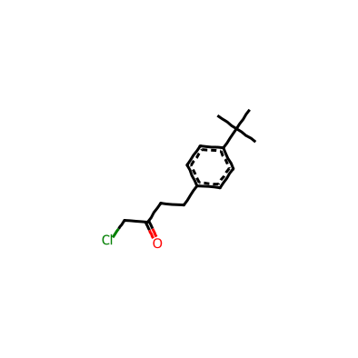 CC(C)(C)c1ccc(CCC(=O)CCl)cc1